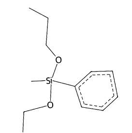 CCCO[Si](C)(OCC)c1ccccc1